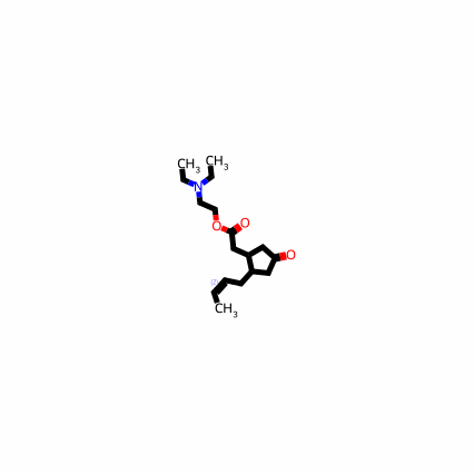 C/C=C\CC1CC(=O)CC1CC(=O)OCCN(CC)CC